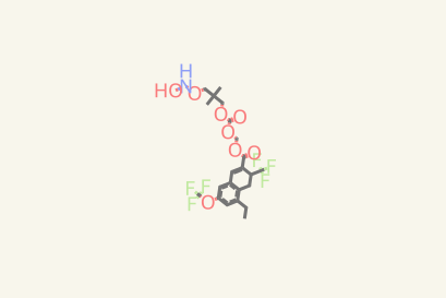 CCc1cc(OC(F)(F)F)cc2c1CC(C(F)(F)F)C(C(=O)OCOC(=O)OCC(C)(C)CONO)=C2